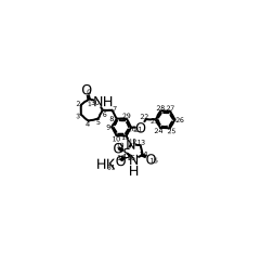 O=C1CCCCC(Cc2ccc(N3CC(=O)NS3(=O)=O)c(OCc3ccccc3)c2)N1.[KH]